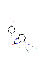 COc1ccc(Cn2c(=O)n(C)c3c(N(CCC(F)(F)F)CC(F)(F)F)cccc32)cc1